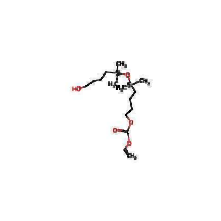 C=COC(=O)OCCCC[Si](C)(C)O[Si](C)(C)CCCCO